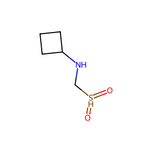 O=[SH](=O)CNC1CCC1